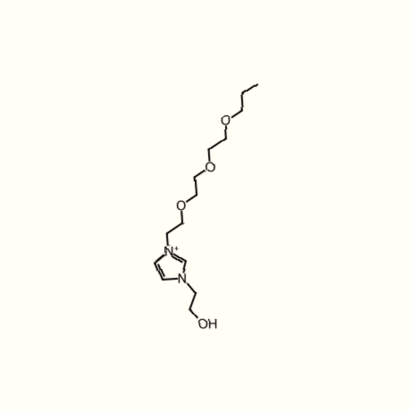 CCCOCCOCCOCC[n+]1ccn(CCO)c1